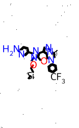 Cc1c(-c2cnn3c2C(=O)N(c2ccc(C(F)(F)F)cc2)C[C@@H]3C)nc(-c2ccc(N)nc2)n1COCC[Si](C)(C)C